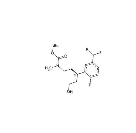 CN(CC[C@H](CCO)c1cc(C(F)F)ccc1F)C(=O)OC(C)(C)C